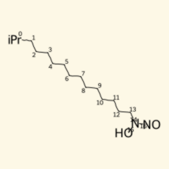 CC(C)CCCCCCCCCCCCCN(O)N=O